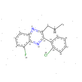 CBCc1nc2cccc(F)c2nc1-c1ccccc1Cl